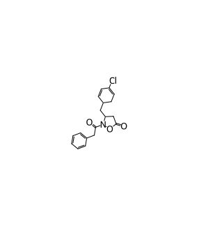 O=C1CC(CC2C=CC(Cl)=CC2)N(C(=O)Cc2ccccc2)O1